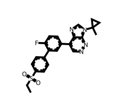 CCS(=O)(=O)c1ccc(-c2cc(-c3cnnc4c3ncn4C3(C)CC3)ccc2F)cc1